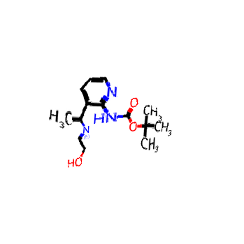 CC(/N=C/CO)c1cccnc1NC(=O)OC(C)(C)C